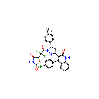 Cc1ccc([C@@H]2CC(c3c(-c4ccc(Cl)cc4)c4ccccc4[nH]c3=O)=NN2C(=O)C(F)(F)C2SC(=O)NC2=O)cc1